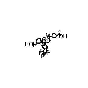 CC(C)(O)Cc1cccc(S(=O)(=O)C2(c3ccc(C(F)(C(F)(F)F)C(F)(F)F)cc3)CCN(C(=O)C3CCC(C(=O)O)CC3)C2)c1